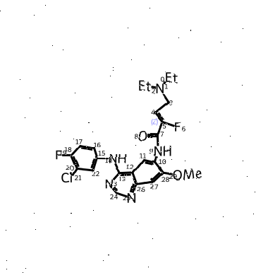 CCN(CC)C/C=C(\F)C(=O)Nc1cc2c(Nc3ccc(F)c(Cl)c3)ncnc2cc1OC